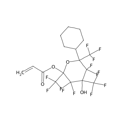 C=CC(=O)OC1(C(F)(F)F)OC(C2CCCCC2)(C(F)(F)F)C(F)(F)C(O)(C(F)(F)F)C1(F)F